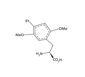 CCc1cc(OC)c(C[C@H](N)C(=O)O)cc1OC